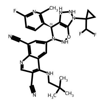 Cc1nc(F)ccc1[C@H]1C2=C(ONN1c1cc(C#N)c3ncc(C#N)c(NCC(C)(C)C)c3c1)N(C1(C(F)F)CC1)NN2